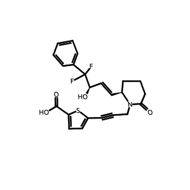 O=C(O)c1ccc(C#CCN2C(=O)CCC[C@@H]2C=C[C@@H](O)C(F)(F)c2ccccc2)s1